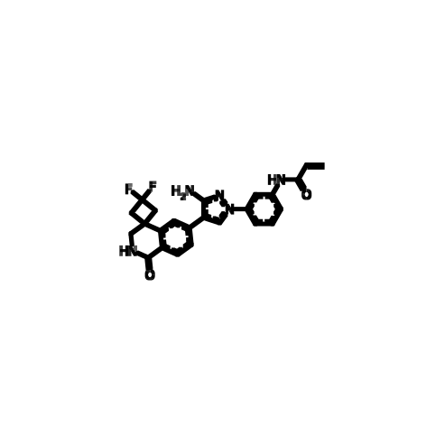 C=CC(=O)Nc1cccc(-n2cc(-c3ccc4c(c3)C3(CNC4=O)CC(F)(F)C3)c(N)n2)c1